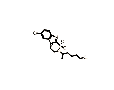 CC(CCCCCl)N1CCn2c(nc3ccc(Cl)cc32)S1(=O)=O